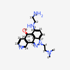 CN(C)CCn1nc2c3c(c(NCCN)ccc31)C(=O)c1ccncc1-2